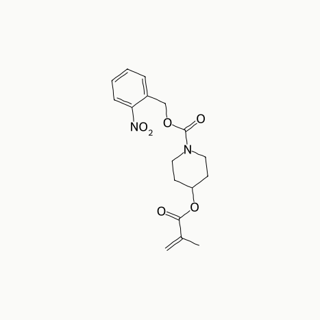 C=C(C)C(=O)OC1CCN(C(=O)OCc2ccccc2[N+](=O)[O-])CC1